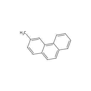 Cc1c[c]c2ccc3ccccc3c2c1